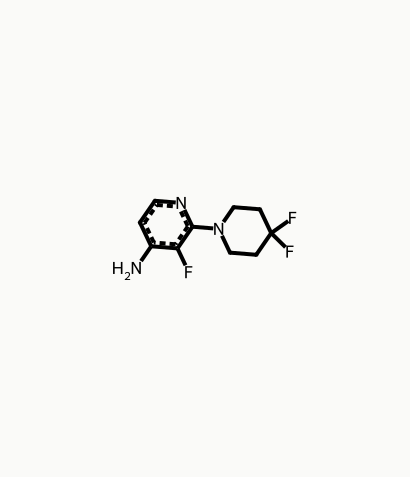 Nc1ccnc(N2CCC(F)(F)CC2)c1F